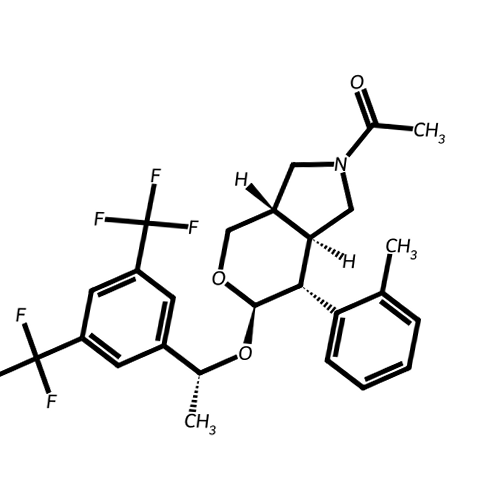 CC(=O)N1C[C@H]2CO[C@H](O[C@H](C)c3cc(C(F)(F)F)cc(C(F)(F)F)c3)[C@@H](c3ccccc3C)[C@@H]2C1